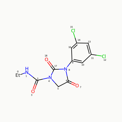 CCNC(=O)N1CC(=O)N(c2cc(Cl)cc(Cl)c2)C1=O